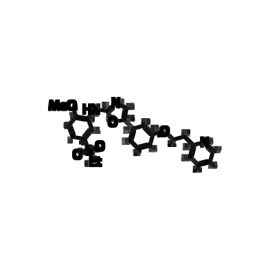 CCS(=O)(=O)c1ccc(OC)c(Nc2ncc(-c3cccc(OCCc4ccccn4)c3)o2)c1